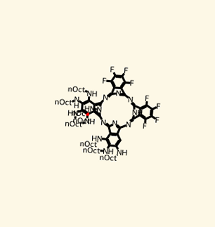 CCCCCCCCNc1cc2c(c(NCCCCCCCC)c1NCCCCCCCC)-c1nc-2nc2[nH]c(nc3nc(nc4c5c(NCCCCCCCC)c(NCCCCCCCC)c(NCCCCCCCC)c(NCCCCCCCC)c5c(n1)n4NCCCCCCCC)-c1c(F)c(F)c(F)c(F)c1-3)c1c(F)c(F)c(F)c(F)c21